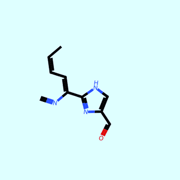 C=N/C(=C\C=C/C)c1nc(C=O)c[nH]1